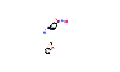 CC(=O)NNC(=O)c1ccc2c(c1)ncn2-c1cc(O[C@H](C)c2ccccc2Cl)cs1